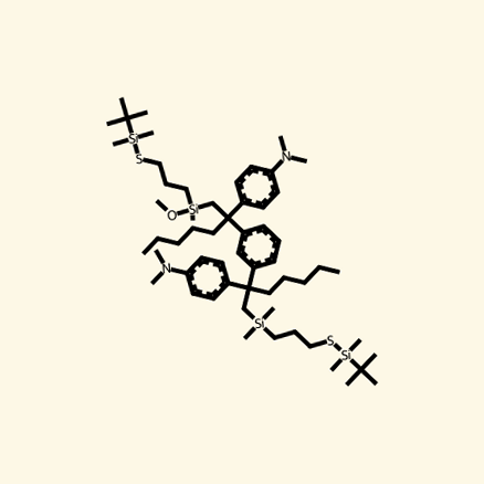 CCCCCC(C[Si](C)(C)CCCS[Si](C)(C)C(C)(C)C)(c1ccc(N(C)C)cc1)c1cccc(C(CCCCC)(C[Si](C)(CCCS[Si](C)(C)C(C)(C)C)OC)c2ccc(N(C)C)cc2)c1